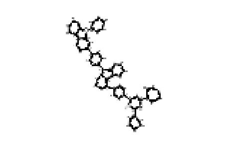 c1ccc(-c2cc(-c3ccc(-c4cccc5c4c4ccccc4n5-c4ccc(-c5ccc6c7ccccc7n(-c7ccccc7)c6c5)cc4)cc3)nc(-c3ccccc3)n2)cc1